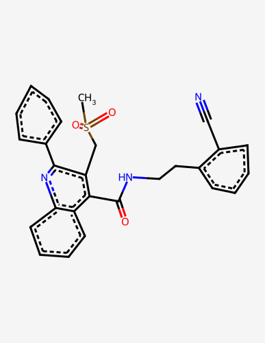 CS(=O)(=O)Cc1c(-c2ccccc2)nc2ccccc2c1C(=O)NCCc1ccccc1C#N